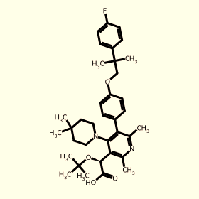 Cc1nc(C)c([C@H](OC(C)(C)C)C(=O)O)c(N2CCC(C)(C)CC2)c1-c1ccc(OCC(C)(C)c2ccc(F)cc2)cc1